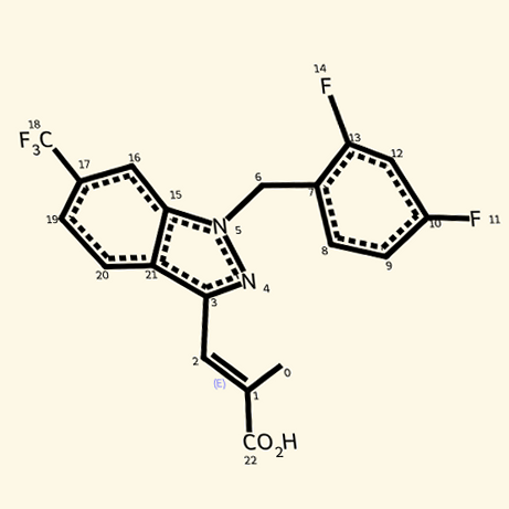 C/C(=C\c1nn(Cc2ccc(F)cc2F)c2cc(C(F)(F)F)ccc12)C(=O)O